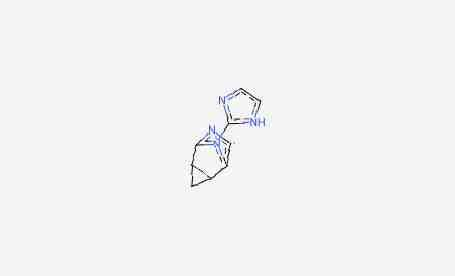 [c]1nc2n(-c3ncc[nH]3)c1C1CC21